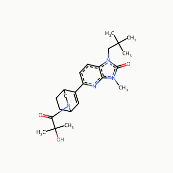 Cn1c(=O)n(CC(C)(C)C)c2ccc(C3=CC4CCC3CN4C(=O)C(C)(C)O)nc21